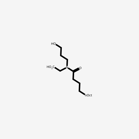 CCCCCCCCCCCC(=O)N(CCCO)CC(=O)O